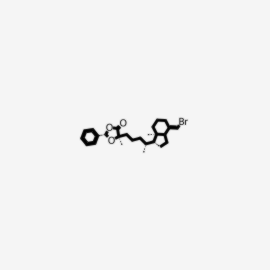 C[C@H](CCC[C@@]1(C)O[C@H](c2ccccc2)OC1=O)[C@H]1CCC2C(=CBr)CCC[C@@]21C